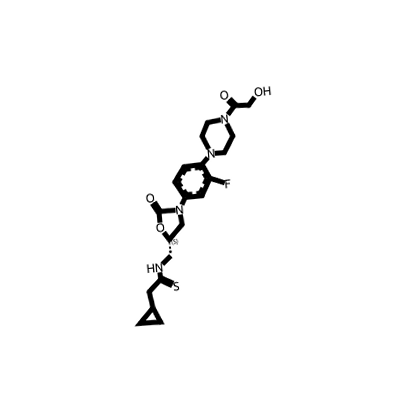 O=C(CO)N1CCN(c2ccc(N3C[C@H](CNC(=S)CC4CC4)OC3=O)cc2F)CC1